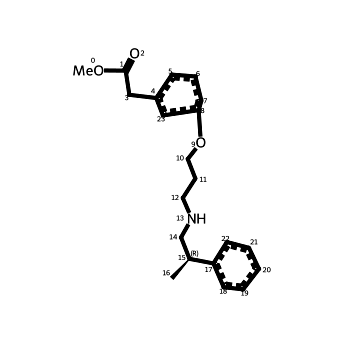 COC(=O)Cc1cccc(OCCCNC[C@H](C)c2ccccc2)c1